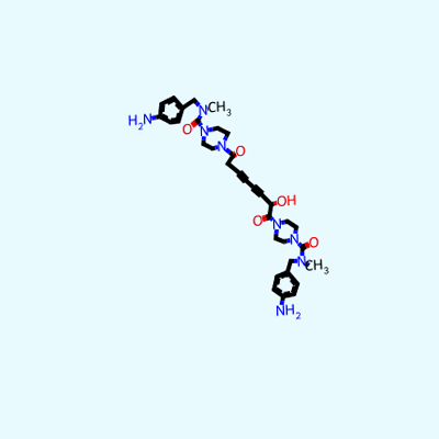 CN(Cc1ccc(N)cc1)C(=O)N1CCN(C(=O)CC#CC#CC(O)C(=O)N2CCN(C(=O)N(C)Cc3ccc(N)cc3)CC2)CC1